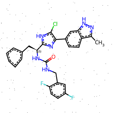 Cc1n[nH]c2cc(-c3nc([C@H](Cc4ccccc4)NC(=O)NCc4cc(F)ccc4F)[nH]c3Cl)ccc12